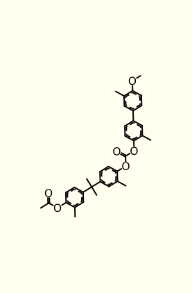 COc1ccc(-c2ccc(OC(=O)Oc3ccc(C(C)(C)c4ccc(OC(C)=O)c(C)c4)cc3C)c(C)c2)cc1C